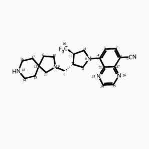 N#Cc1ccc(N2C[C@H](CN3CCC4(CCNCC4)C3)[C@@H](C(F)(F)F)C2)c2nccnc12